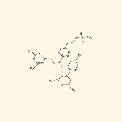 C[C@@H]1CN(c2ccc(C(F)(F)F)cc2CN(CCc2cc(C(F)(F)F)cc(C(F)(F)F)c2)c2ncc(OCCS(C)(=O)=O)cn2)C[C@H](C)O1